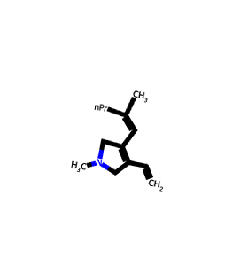 C=CC1=C(/C=C(/C)CCC)CN(C)C1